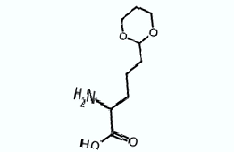 NC(CCCC1OCCCO1)C(=O)O